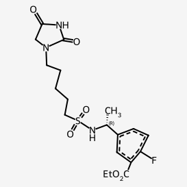 CCOC(=O)c1cc([C@@H](C)NS(=O)(=O)CCCCCN2CC(=O)NC2=O)ccc1F